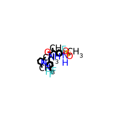 CC(C(=O)NCc1ccc(C(F)(F)F)nc1N1C(C)CCCC1C)c1ccc(NS(C)(=O)=O)c(F)c1